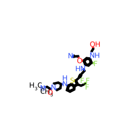 CN(C)CC(=O)N1CCC(Nc2cccc3c(CC(F)(F)F)c(C#CCNc4cc(F)c(NCCO)cc4OCC#N)sc23)CC1